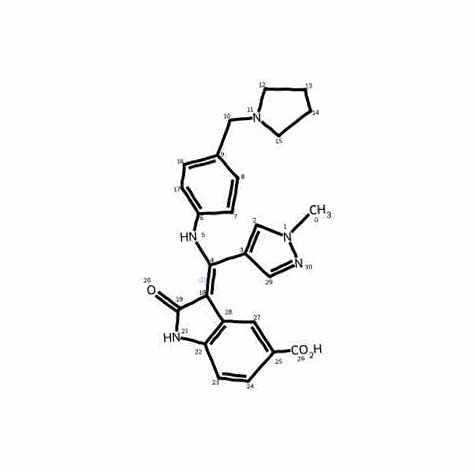 Cn1cc(/C(Nc2ccc(CN3CCCC3)cc2)=C2/C(=O)Nc3ccc(C(=O)O)cc32)cn1